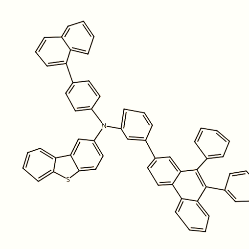 c1ccc(-c2c(-c3ccccc3)c3cc(-c4cccc(N(c5ccc(-c6cccc7ccccc67)cc5)c5ccc6sc7ccccc7c6c5)c4)ccc3c3ccccc23)cc1